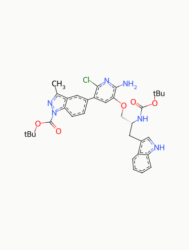 Cc1nn(C(=O)OC(C)(C)C)c2ccc(-c3cc(OC[C@@H](Cc4c[nH]c5ccccc45)NC(=O)OC(C)(C)C)c(N)nc3Cl)cc12